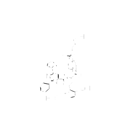 CCCCOC(=O)N1CCN(C(=O)[C@H](CCc2c(OCC)ccp2OCC)NC(=O)c2cc(-n3cccn3)nc(-c3ccccc3)n2)CC1